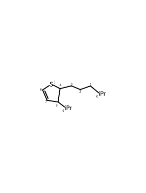 CC(C)CCCC1SC=CC1C(C)C